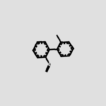 C=Nc1ccccc1-c1ccccc1C